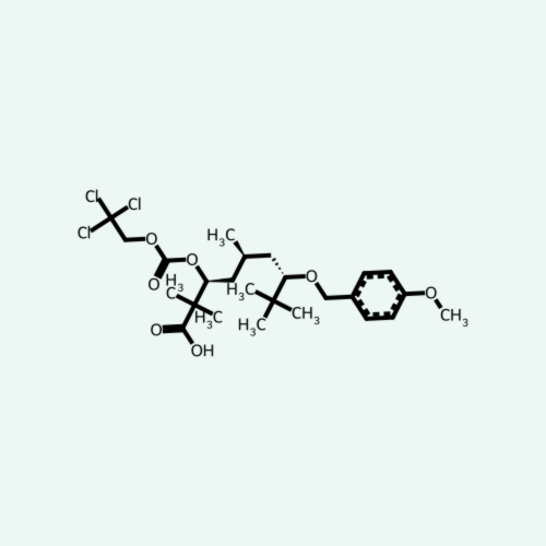 COc1ccc(CO[C@@H](C[C@H](C)C[C@H](OC(=O)OCC(Cl)(Cl)Cl)C(C)(C)C(=O)O)C(C)(C)C)cc1